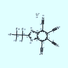 N#Cc1c(C#N)c(C#N)c2[n-]c(C(F)(F)C(F)(F)F)nc2c1C#N.[Li+]